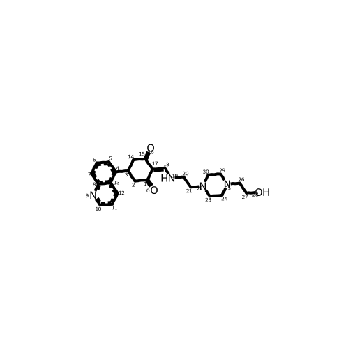 O=C1CC(c2cccc3ncccc23)CC(=O)C1=CNCCN1CCN(CCO)CC1